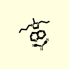 CCCCN1C=CN(CCC)C1C.N#CNC#N.c1ccc2ncccc2c1